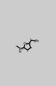 CBC1CCC(CC(C)C)O1